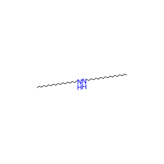 CCCCCCCCCCCCCCCCCCNCNCCCCCCCCCCCCCCCCCC